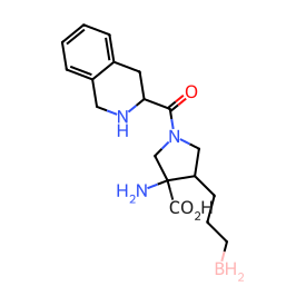 BCCCC1CN(C(=O)C2Cc3ccccc3CN2)CC1(N)C(=O)O